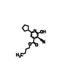 CCCCOC(=O)c1cc(C2CCCC2)nc(O)c1C#N